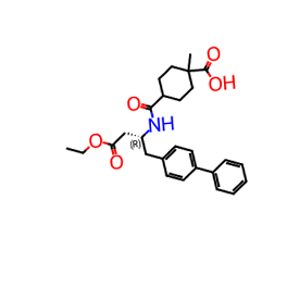 CCOC(=O)C[C@@H](Cc1ccc(-c2ccccc2)cc1)NC(=O)C1CCC(C)(C(=O)O)CC1